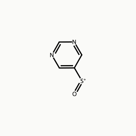 O=[S+]c1cncnc1